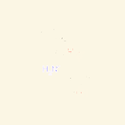 COc1ccc(O)cc1C(N)c1occ2ccccc12